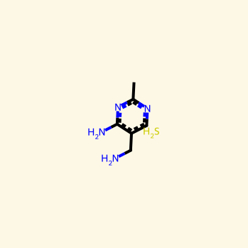 Cc1ncc(CN)c(N)n1.S